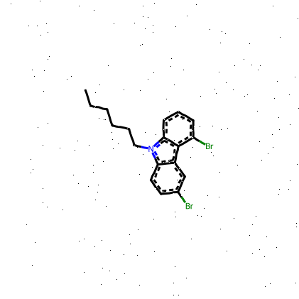 CCCCCCn1c2ccc(Br)cc2c2c(Br)cccc21